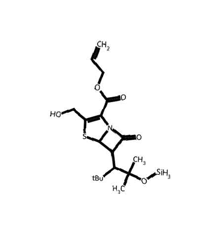 C=CCOC(=O)C1=C(CO)SC2C(C(C(C)(C)C)C(C)(C)O[SiH3])C(=O)N12